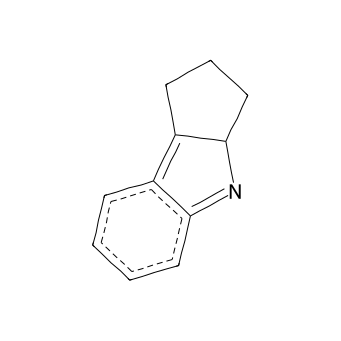 c1ccc2c(c1)=NC1CCCC=21